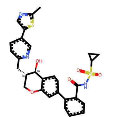 Cc1ncc(-c2ccc(C[C@H]3COc4cc(-c5ccccc5C(=O)NS(=O)(=O)C5CC5)ccc4[C@@H]3O)nc2)s1